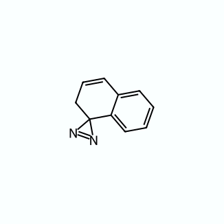 C1=Cc2ccccc2C2(C1)N=N2